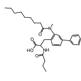 CCCCCCCCC(=O)N(C)c1cc(-c2ccccc2)ccc1CC(NC(=O)CCC)C(=O)O